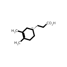 CC1=C(C)C[C@H](CCC(=O)O)CC1